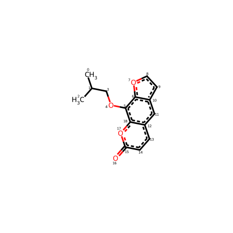 CC(C)COc1c2occc2cc2ccc(=O)oc12